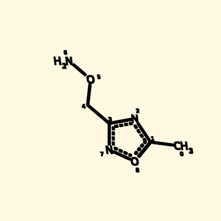 Cc1nc(CON)no1